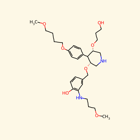 COCCCCOc1ccc(C2[C@@H](OCc3ccc(O)c(NCCCOC)c3)CNC[C@H]2OCCCO)cc1